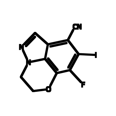 N#Cc1c(I)c(F)c2c3c1cnn3CCO2